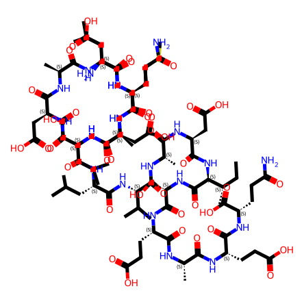 CC[C@H](C)[C@H](NC(=O)[C@H](CC(=O)O)NC(=O)[C@H](C)NC(=O)[C@@H](NC(=O)[C@H](CC(C)C)NC(=O)[C@H](CC(=O)O)NC(=O)[C@H](C)NC(=O)[C@H](CCSC)NC(=O)[C@H](CC(C)C)NC(=O)[C@H](C)NC(=O)[C@H](CC(=O)O)NC(=O)[C@H](CC(C)C)NC(=O)[C@H](CC(=O)O)NC(=O)[C@H](CCC(N)=O)NC(=O)[C@@H](N)CC(=O)O)C(C)C)C(=O)N[C@@H](CO)C(=O)N[C@@H](CCC(=O)O)C(=O)N[C@@H](C)C(=O)N[C@@H](CCC(=O)O)C(=O)N[C@@H](CCC(N)=O)C(=O)O